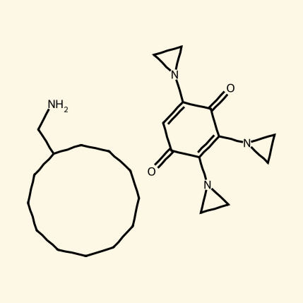 NCC1CCCCCCCCCCC1.O=C1C=C(N2CC2)C(=O)C(N2CC2)=C1N1CC1